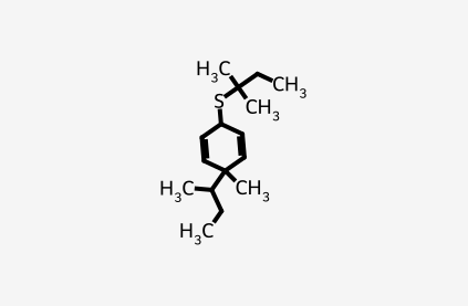 CCC(C)C1(C)C=CC(SC(C)(C)CC)C=C1